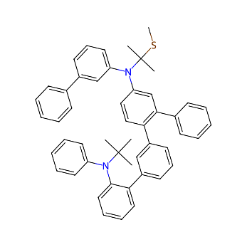 CSC(C)(C)N(c1cccc(-c2ccccc2)c1)c1ccc(-c2cccc(-c3ccccc3N(c3ccccc3)C(C)(C)C)c2)c(-c2ccccc2)c1